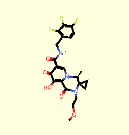 COCCN1C(=O)c2c(O)c(=O)c(C(=O)NCc3ccc(F)c(F)c3F)cn2[C@@H](C)C12CC2